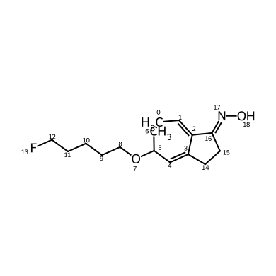 C/C=C1C(=C/C(C)OCCCCCF)\CCC\1=N/O